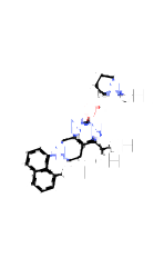 Cc1cccc2cccc(N3CCc4c(nc(OC[C@@H]5CCCN5C)nc4C(C)C)C3)c12